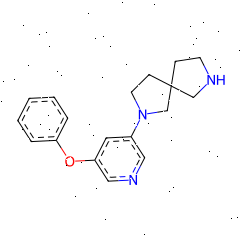 c1ccc(Oc2cncc(N3CCC4(CCNC4)C3)c2)cc1